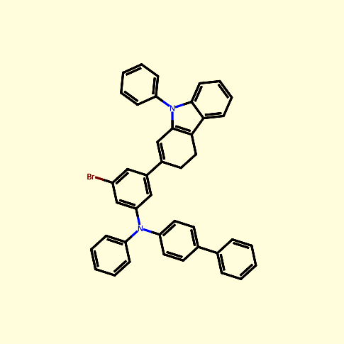 Brc1cc(C2=Cc3c(c4ccccc4n3-c3ccccc3)CC2)cc(N(c2ccccc2)c2ccc(-c3ccccc3)cc2)c1